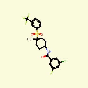 CC1(S(=O)(=O)c2cccc(C(F)(F)F)c2)CCC(NC(=O)c2cc(F)cc(Cl)c2)CC1